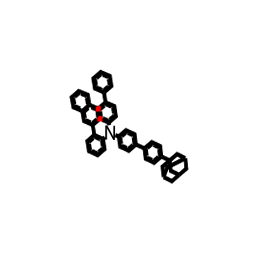 c1ccc(-c2ccc(N(c3ccc(-c4ccc(C56CC7CC(CC(C7)C5)C6)cc4)cc3)c3ccccc3-c3ccc4ccccc4c3)cc2)cc1